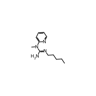 CCCCCN=C(N)N(C)c1ccccn1